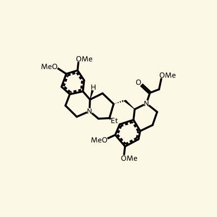 CC[C@H]1CN2CCc3cc(OC)c(OC)cc3[C@@H]2C[C@@H]1C[C@@H]1c2cc(OC)c(OC)cc2CCN1C(=O)COC